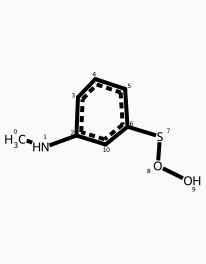 CNc1cccc(SOO)c1